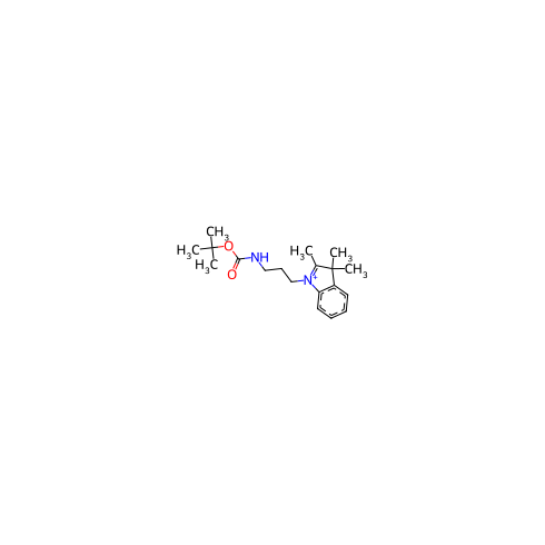 CC1=[N+](CCCNC(=O)OC(C)(C)C)c2ccccc2C1(C)C